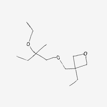 CCOC(C)(CC)COCC1(CC)COC1